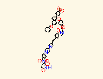 CCN(CCOc1ccc(Oc2c(-c3ccc(S(C)(=O)=O)cc3)ccc3cc(OCc4ccccc4)ccc23)cc1)C(=O)c1ccc(C#CC2CCN(C3CCN(c4ccc5c(c4)C(=O)N(C4CCC(=O)NC4=O)C5=O)CC3)CC2)cc1